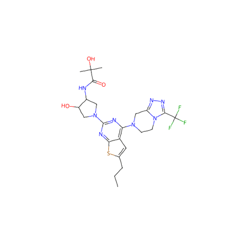 CCCc1cc2c(N3CCn4c(nnc4C(F)(F)F)C3)nc(N3CC(O)C(NC(=O)C(C)(C)O)C3)nc2s1